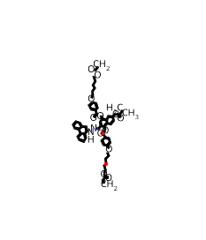 C=CC(=O)OCCCCCCOc1ccc(C(=O)Oc2cc(/C=N/Nc3cc4ccccc4c4ccccc34)c(OC(=O)c3ccc(OCCCCCCOC(=O)C=C)cc3)c3ccc(OC(=O)C(=C)C)cc23)cc1